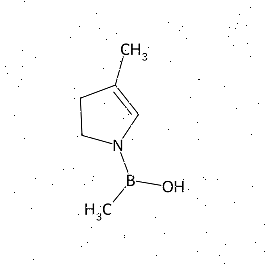 CB(O)N1C=C(C)CC1